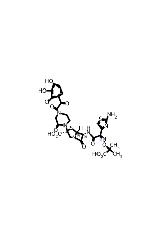 CC(C)(O/N=C(\C(=O)N[C@@H]1C(=O)N2C[C@@](C(=O)O)(N3CCN(C(=O)C(=O)c4ccc(O)c(O)c4Cl)CC3=O)S[C@H]12)c1csc(N)n1)C(=O)O